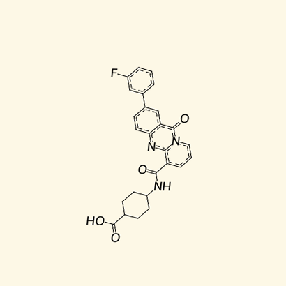 O=C(NC1CCC(C(=O)O)CC1)c1cccn2c(=O)c3cc(-c4cccc(F)c4)ccc3nc12